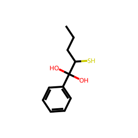 CCCC(S)C(O)(O)c1ccccc1